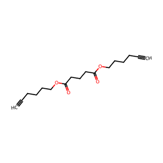 C#CCCCCOC(=O)CCCC(=O)OCCCCC#C